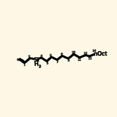 C=CC[SiH2]CCCCCCCCCCCCCCCCCC